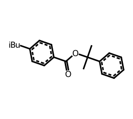 CCC(C)c1ccc(C(=O)OC(C)(C)c2ccccc2)cc1